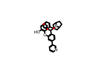 Oc1cccc2c1Oc1cc(-c3cccnc3)ccc1C2C1CC2CCC(C1)N2Cc1ccccc1